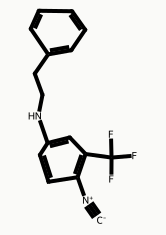 [C-]#[N+]c1ccc(NCCc2ccccc2)cc1C(F)(F)F